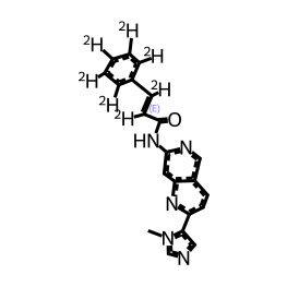 [2H]/C(C(=O)Nc1cc2nc(-c3cncn3C)ccc2cn1)=C(/[2H])c1c([2H])c([2H])c([2H])c([2H])c1[2H]